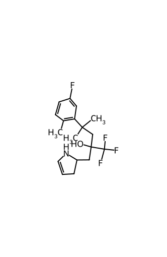 Cc1ccc(F)cc1C(C)(C)CC(O)(CC1CC=CN1)C(F)(F)F